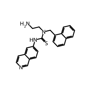 NCCN(Cc1cccc2ccccc12)C(=S)Nc1ccc2cnccc2c1